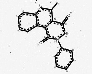 Cc1nc2ccccc2c2c(=O)n(-c3ccccc3)[nH]c(=O)c12